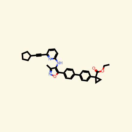 CCOC(=O)C1(c2ccc(-c3ccc(-c4onc(C)c4Nc4cccc(C#CC5CCCC5)n4)cc3)cc2)CC1